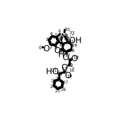 COc1ccc(C)c2c1O[C@H]1C(OC(=O)[C@H](C)OC(=O)[C@@H](O)c3ccccc3)=CC[C@@]3(O)[C@@H](C)N(C)CC[C@]213